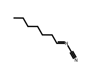 CCCCCCC=NC#N